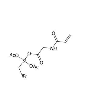 C=CC(=O)NCC(=O)O[Si](CC(C)C)(OC(C)=O)OC(C)=O